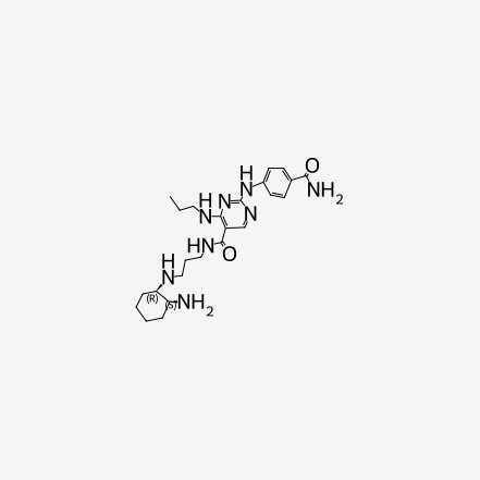 CCCNc1nc(Nc2ccc(C(N)=O)cc2)ncc1C(=O)NCCCN[C@@H]1CCCC[C@@H]1N